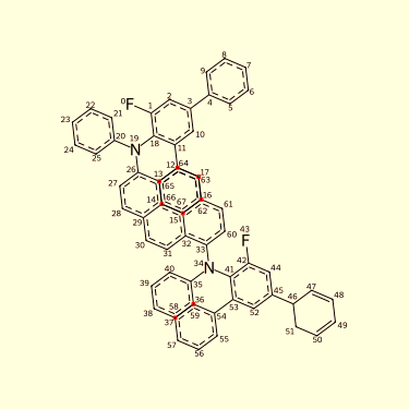 Fc1cc(-c2ccccc2)cc(-c2ccccc2)c1N(c1ccccc1)c1ccc2ccc3c(N(c4ccccc4)c4c(F)cc(C5C=CC=CC5)cc4-c4ccccc4)ccc4ccc1c2c43